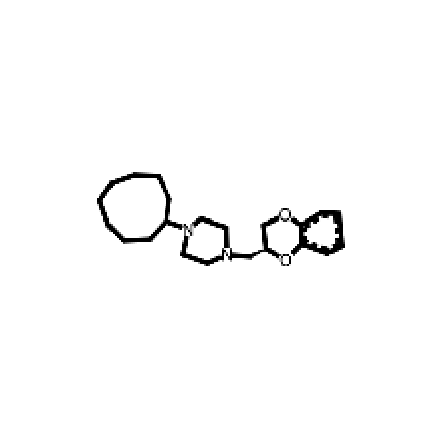 c1ccc2c(c1)OC[C@H](CN1CCN(C3CCCCCCCC3)CC1)O2